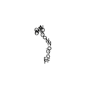 Cc1cc(CN2CCN(c3ccc(OC[C@H]4CC([N+](=O)[O-])n5ccnc5O4)cc3)CC2)ccc1OCc1ccc(C(F)(F)F)cc1